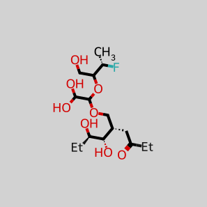 CCC(=O)C[C@@H](COC(OC(CO)[C@H](C)F)C(O)O)[C@H](O)[C@H](O)CC